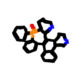 O=P1(c2ccccc2)c2ccccc2-c2c(c3ccncc3c3ccccc23)-c2ncccc21